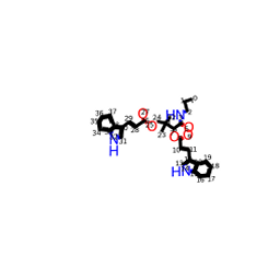 [CH2]CCNC(=O)[C@H](OC(=O)/C=C/c1c[nH]c2ccccc12)C(C)(C)COC(=O)/C=C/c1c[nH]c2ccccc12